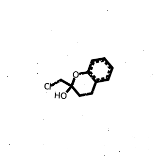 OC1(CCl)CCc2ccccc2O1